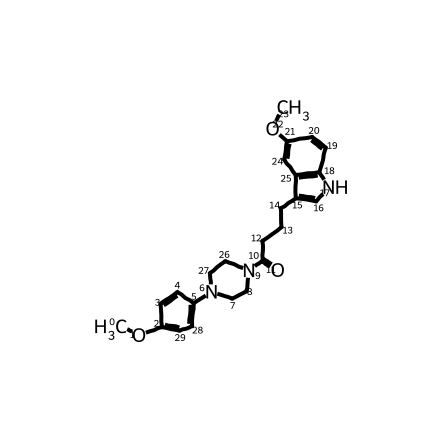 COc1ccc(N2CCN(C(=O)CCCc3c[nH]c4ccc(OC)cc34)CC2)cc1